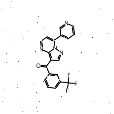 O=C(c1cccc(C(F)(F)F)c1)c1cnn2c(-c3cccnc3)ccnc12